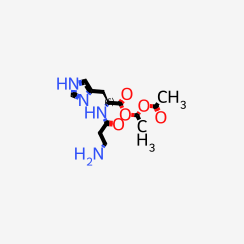 CC(=O)OC(C)OC(=O)[C@H](Cc1c[nH]cn1)NC(=O)CCN